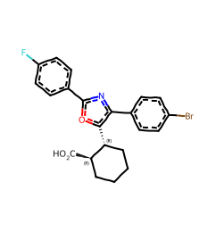 O=C(O)[C@@H]1CCCC[C@H]1c1oc(-c2ccc(F)cc2)nc1-c1ccc(Br)cc1